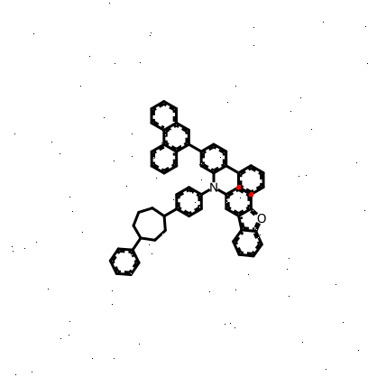 c1ccc(-c2ccc(-c3cc4ccccc4c4ccccc34)cc2N(c2ccc(C3CCCC(c4ccccc4)CC3)cc2)c2ccc3oc4ccccc4c3c2)cc1